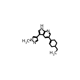 CCC1CC=C(c2cnc3[nH]cc(-c4cnn(C)c4)c3c2)CC1